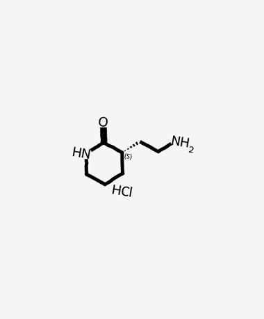 Cl.NCC[C@@H]1CCCNC1=O